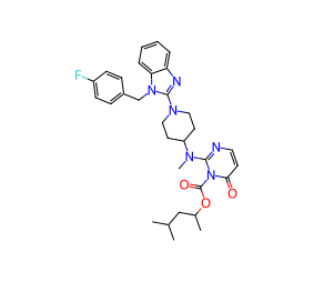 CC(C)CC(C)OC(=O)n1c(N(C)C2CCN(c3nc4ccccc4n3Cc3ccc(F)cc3)CC2)nccc1=O